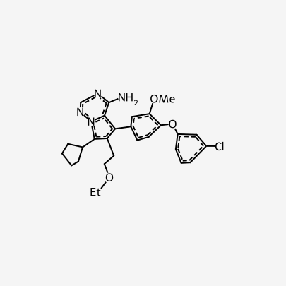 CCOCCc1c(-c2ccc(Oc3cccc(Cl)c3)c(OC)c2)c2c(N)ncnn2c1C1CCCC1